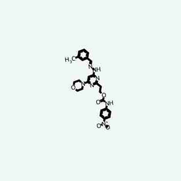 Cc1cccc(C=NNc2cc(N3CCOCC3)nc(CCOC(=O)Nc3ccc([N+](=O)[O-])cc3)n2)c1